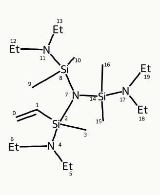 C=C[Si](C)(N(CC)CC)N([Si](C)(C)N(CC)CC)[Si](C)(C)N(CC)CC